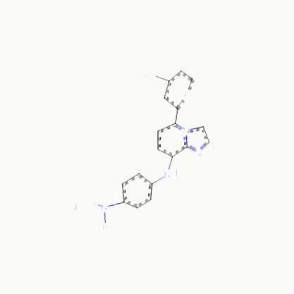 CCCCCN(CCC)c1ccc(Nc2ccc(-c3cccc(C=O)c3)n3ccnc23)cc1